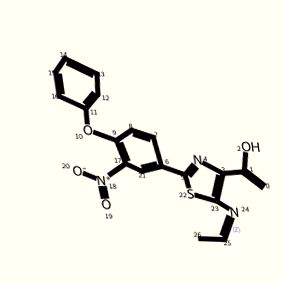 C=C(O)c1nc(-c2ccc(Oc3ccccc3)c([N+](=O)[O-])c2)sc1/N=C\C